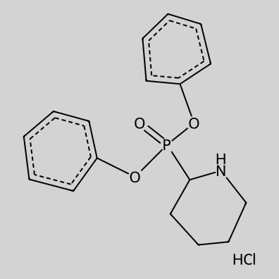 Cl.O=P(Oc1ccccc1)(Oc1ccccc1)C1CCCCN1